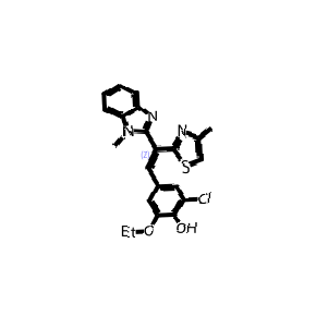 CCOc1cc(/C=C(\c2nc(C)cs2)c2nc3ccccc3n2C)cc(Cl)c1O